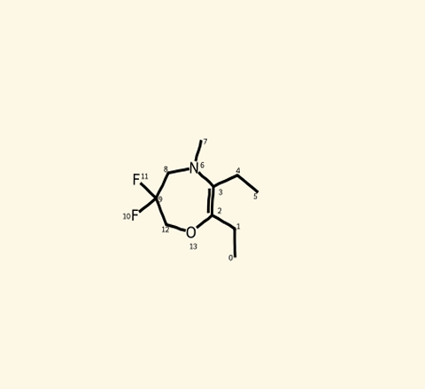 CCC1=C(CC)N(C)CC(F)(F)CO1